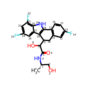 C[C@@H](CO)NC(=O)C(O)C1Cc2cc(F)ccc2-c2[nH]c3c(F)cc(F)cc3c21